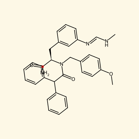 CNC=Nc1cccc(C[C@H](C(N)=O)N(Cc2ccc(OC)cc2)C(=O)C(c2ccccc2)c2ccccc2)c1